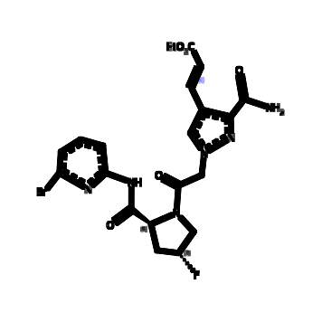 CCOC(=O)/C=C/c1cn(CC(=O)N2C[C@H](F)C[C@H]2C(=O)Nc2cccc(Br)n2)nc1C(N)=O